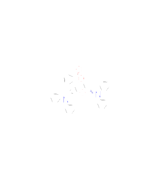 CCc1ccc(N(/C(C)=C/C2=C(C)C3(OC(=O)c4ccccc43)c3ccc(N(c4ccc(CC)cc4)c4ccc(CC)cc4)cc3O2)c2ccc(CC)cc2)cc1